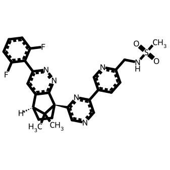 CC1(C)[C@H]2CC[C@@]1(c1cncc(-c3ccc(CNS(C)(=O)=O)nc3)n1)c1nnc(-c3c(F)cccc3F)cc12